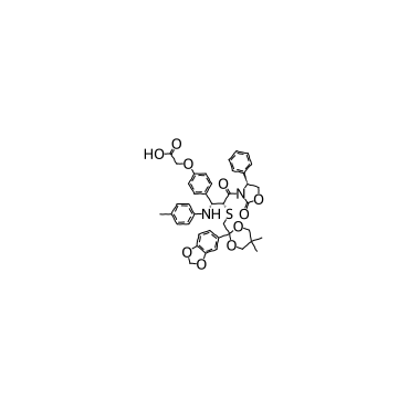 Cc1ccc(N[C@H](c2ccc(OCC(=O)O)cc2)[C@@H](SCC2(c3ccc4c(c3)OCO4)OCC(C)(C)CO2)C(=O)N2C(=O)OC[C@@H]2c2ccccc2)cc1